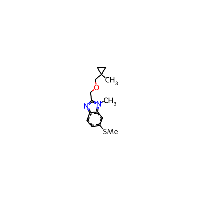 CSc1ccc2nc(COCC3(C)CC3)n(C)c2c1